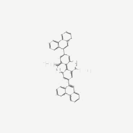 CC(C)(C)c1nc2cc(-c3cc4ccccc4c4ccccc34)cc3c(C(C)(C)C)nc4cc(-c5cc6ccccc6c6ccccc56)cc1c4c23